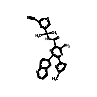 Cn1ccc(-c2nc(N)c(C(=O)NC(C)(C)c3cncc(C#N)n3)nc2-c2ccc3ncccc3c2)n1